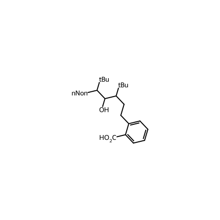 CCCCCCCCCC(C(O)C(CCc1ccccc1C(=O)O)C(C)(C)C)C(C)(C)C